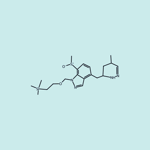 CC1C=NNC(Cc2ccc([S+](C)[O-])c3c2cnn3COCC[Si](C)(C)C)C1